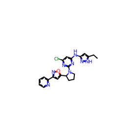 CCc1cc(Nc2cc(Cl)nc(N3CCCC3c3cc(-c4ccccn4)no3)n2)n[nH]1